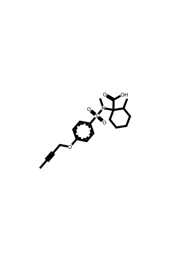 CC#CCOc1ccc(S(=O)(=O)N(C)C2(C(=O)O)CCCCC2C)cc1